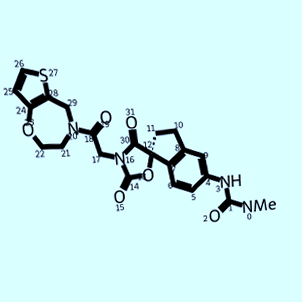 CNC(=O)Nc1ccc2c(c1)CC[C@@]21OC(=O)N(CC(=O)N2CCOc3ccsc3C2)C1=O